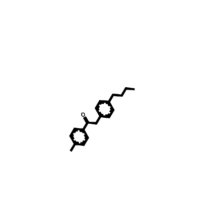 CCCCc1ccc(CC(=O)c2ccc(C)cc2)cc1